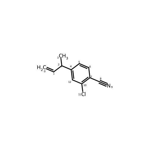 C=C[C](C)c1ccc(C#N)c(Cl)c1